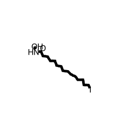 O=C(CCCCCCCCCCCCCCI)NO